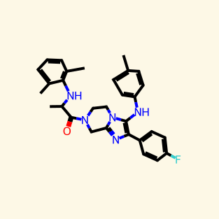 Cc1ccc(Nc2c(-c3ccc(F)cc3)nc3n2CCN(C(=O)C(C)Nc2c(C)cccc2C)C3)cc1